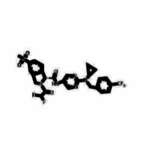 CS(=O)(=O)c1ccc2c(c1)CN(C(=O)C(F)F)[C@H]2C(=O)Nc1cnc(N(Cc2ccc(C(F)(F)F)cc2)C2CC2)nc1